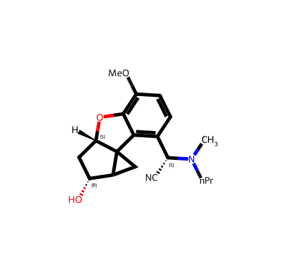 CCCN(C)[C@H](C#N)c1ccc(OC)c2c1C13CC1[C@H](O)C[C@@H]3O2